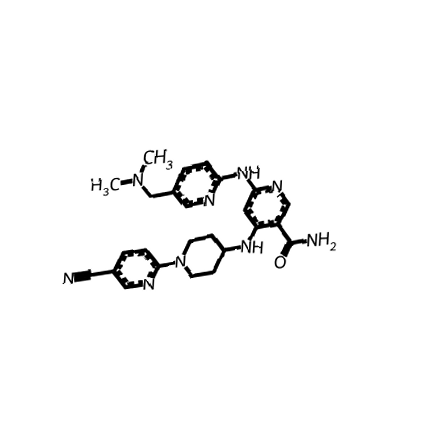 CN(C)Cc1ccc(Nc2cc(NC3CCN(c4ccc(C#N)cn4)CC3)c(C(N)=O)cn2)nc1